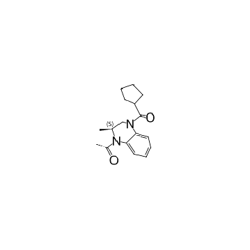 CC(=O)N1c2ccccc2N(C(=O)C2CCCC2)C[C@@H]1C